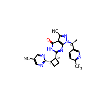 C[C@@H](c1ccc(C(F)(F)F)nc1)n1nc(C#N)c2c(=O)[nH]c([C@H]3CC[C@@H]3c3ncc(C#N)cn3)nc21